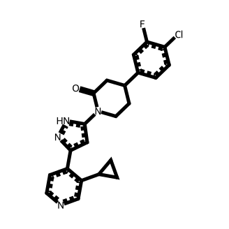 O=C1CC(c2ccc(Cl)c(F)c2)CCN1c1cc(-c2ccncc2C2CC2)n[nH]1